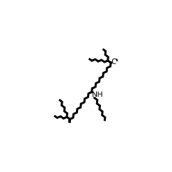 C=C=C(CCCCCCCCCCC(CCCCCCCCCCC(=C)C(CCCC)CCCCCC)NCCCCCCCCC)C(CCCC)CCCCCC